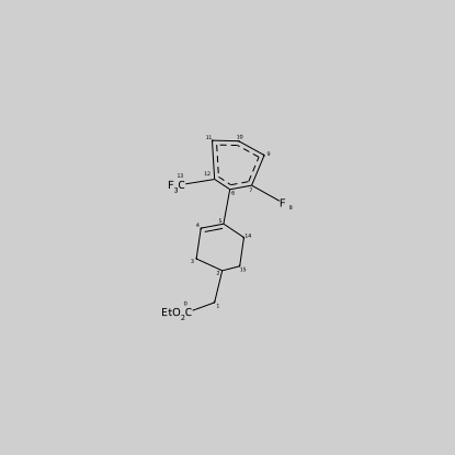 CCOC(=O)CC1CC=C(c2c(F)cccc2C(F)(F)F)CC1